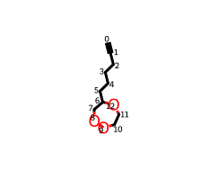 C#CCCCCC1COOCCO1